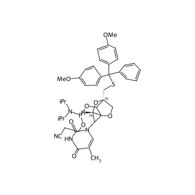 COc1ccc(C(SC[C@@]23COC4(C(n5cc(C)c(=O)[nH]c5=O)[C@@H]4O2)C3OP(OCCC#N)N(C(C)C)C(C)C)(c2ccccc2)c2ccc(OC)cc2)cc1